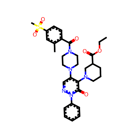 CCOC(=O)C1CCCN(c2c(N3CCN(C(=O)c4ccc(S(C)(=O)=O)cc4C)CC3)cnn(-c3ccccc3)c2=O)C1